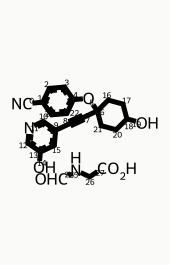 N#Cc1ccc(OC2(C#Cc3cncc(O)c3)CCC(O)CC2)cc1.O=CNCC(=O)O